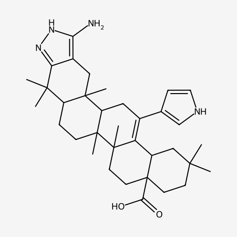 CC1(C)CCC2(C(=O)O)CCC3(C)C(=C(c4cc[nH]c4)CC4C5(C)Cc6c(n[nH]c6N)C(C)(C)C5CCC43C)C2C1